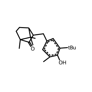 Cc1cc(CC2C(=O)C3(C)CCC2C3(C)C)cc(C(C)(C)C)c1O